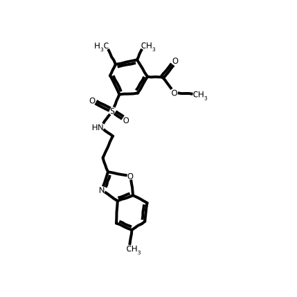 COC(=O)c1cc(S(=O)(=O)NCCc2nc3cc(C)ccc3o2)cc(C)c1C